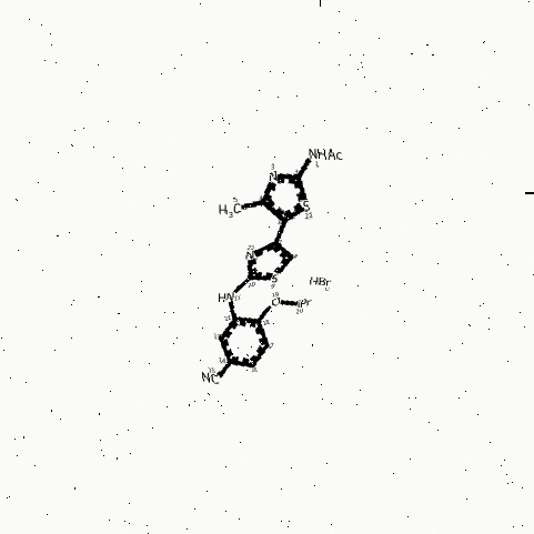 Br.CC(=O)Nc1nc(C)c(-c2csc(Nc3cc(C#N)ccc3OC(C)C)n2)s1